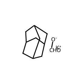 C1C2CC3CC1CC(C2)C3.O=C[O-].[K+]